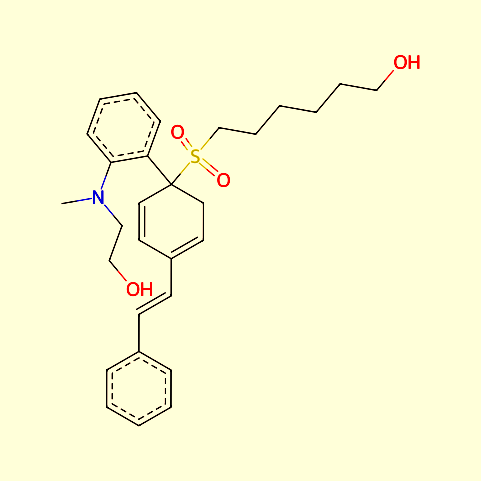 CN(CCO)c1ccccc1C1(S(=O)(=O)CCCCCCO)C=CC(C=Cc2ccccc2)=CC1